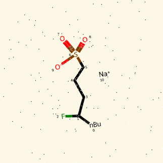 CCCCC(F)CCCS(=O)(=O)[O-].[Na+]